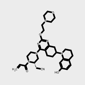 C=CC(=O)N1CCN(c2nc(OCCN3CCOCC3)nc3c2CCC(N2CCCc4ccc(O)cc42)C3)C[C@@H]1CC#N